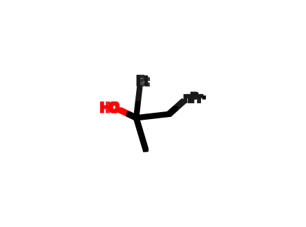 CC[CH]CC(C)(O)CC